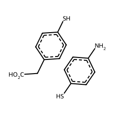 Nc1ccc(S)cc1.O=C(O)Cc1ccc(S)cc1